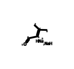 CC(C)=CC=O.[NaH].[NaH]